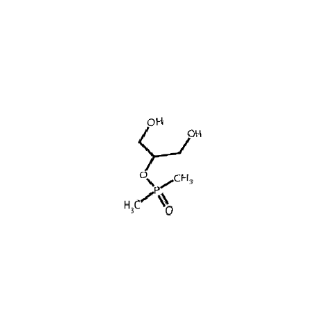 CP(C)(=O)OC(CO)CO